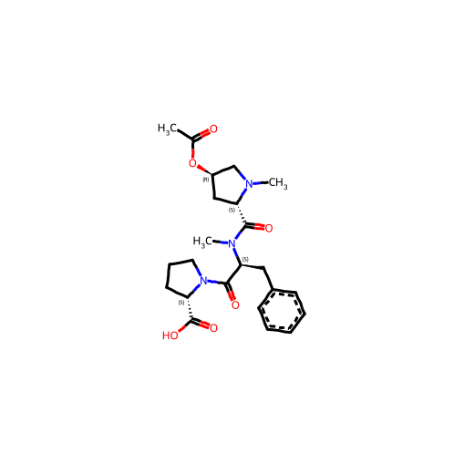 CC(=O)O[C@@H]1C[C@@H](C(=O)N(C)[C@@H](Cc2ccccc2)C(=O)N2CCC[C@H]2C(=O)O)N(C)C1